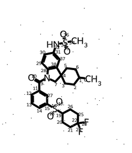 CC1CCC2(CC1)CN(C(=O)c1cccc(S(=O)(=O)C3CCC(F)(F)CC3)c1)c1ccc(NS(C)(=O)=O)cc12